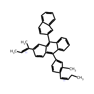 C/C=C(\C)c1ccc2c(-c3ccc(/C=C\CC)c(C)c3)c3ccccc3c(-c3ccc4ccccc4c3)c2c1